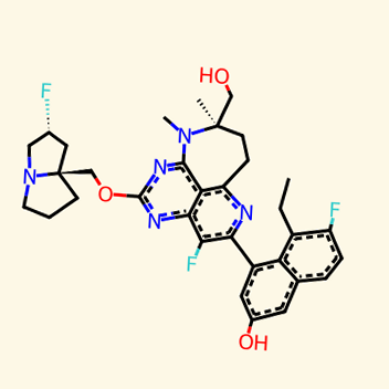 CCc1c(F)ccc2cc(O)cc(-c3nc4c5c(nc(OC[C@@]67CCCN6C[C@H](F)C7)nc5c3F)N(C)[C@@](C)(CO)CC4)c12